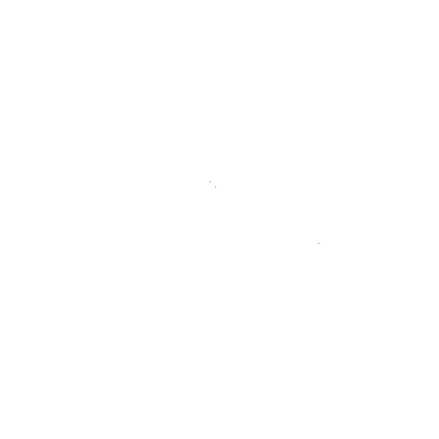 CC(C)(C)C1C=C(Cl)C=C(n2ccc3ccccc32)C1